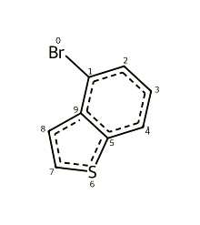 Brc1cc[c]c2sccc12